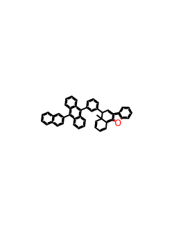 CC12C=CC=CC1=c1oc3ccccc3c1=CC2c1cccc(-c2c3ccccc3c(-c3ccc4ccccc4c3)c3ccccc23)c1